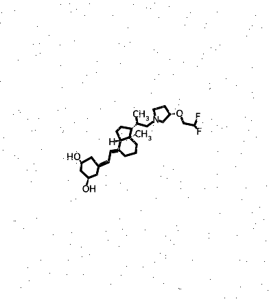 CC(CN1CC[C@H](OCC(F)F)C1)[C@H]1CC[C@H]2/C(=C/C=C3C[C@@H](O)C[C@H](O)C3)CCC[C@]12C